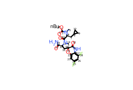 CCCCOC(=O)N(C)[C@@H](CC1CC1)C(=O)N1C[C@@]2(C[C@H]1C(N)=O)Oc1cc(F)cc(F)c1NC2=O